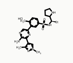 CC[C@@H](NS(=O)(=O)c1ccc(C)c(-c2cnc(N)c(-c3cn(C)nc3C)n2)c1)C1CCCN1.Cl